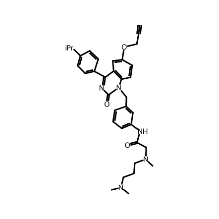 C#CCOc1ccc2c(c1)c(-c1ccc(C(C)C)cc1)nc(=O)n2Cc1cccc(NC(=O)CN(C)CCCN(C)C)c1